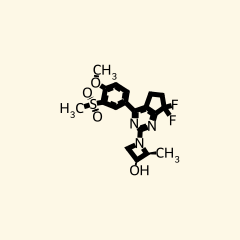 COc1ccc(-c2nc(N3C[C@@H](O)[C@@H]3C)nc3c2CCC3(F)F)cc1S(C)(=O)=O